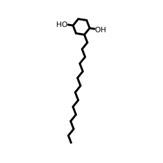 CCCCCCCCCCCCCCCC1CC(O)CCC1O